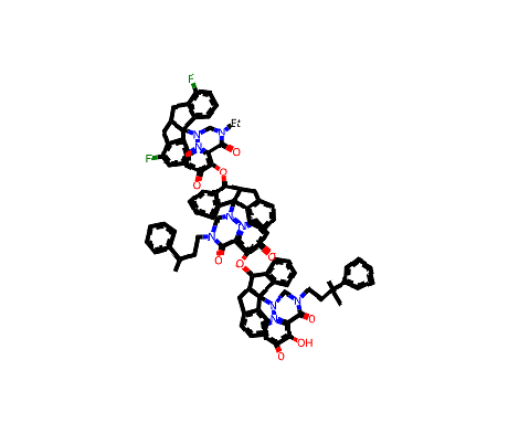 CCN1CN(C23c4cccc(F)c4CC2Cc2c(F)cccc23)n2ccc(=O)c(OC3c4ccccc4C4(N5CN(CCC(C)c6ccccc6)C(=O)c6c(OC7c8ccccc8C8(N9CN(CCC(C)(C)c%10ccccc%10)C(=O)c%10c(O)c(=O)ccn%109)c9ccccc9CC78)c(=O)ccn65)c5ccccc5CC34)c2C1=O